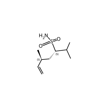 C=C[C@@H](C)C[C@@H](C(C)C)S(N)(=O)=O